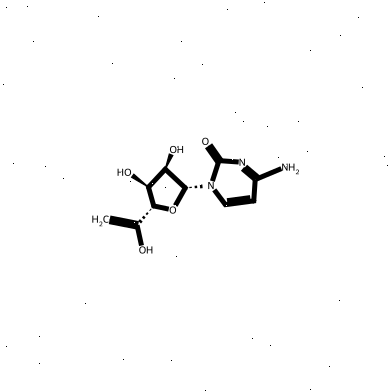 C=C(O)[C@H]1O[C@@H](n2ccc(N)nc2=O)[C@H](O)[C@@H]1O